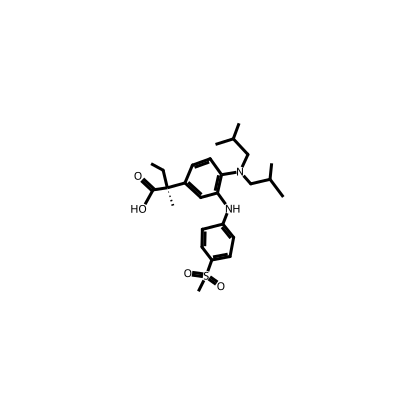 CC[C@](C)(C(=O)O)c1ccc(N(CC(C)C)CC(C)C)c(Nc2ccc(S(C)(=O)=O)cc2)c1